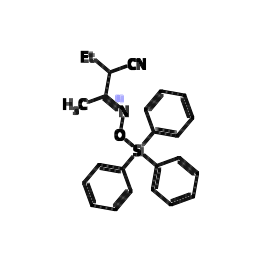 CCC(C#N)/C(C)=N/O[Si](c1ccccc1)(c1ccccc1)c1ccccc1